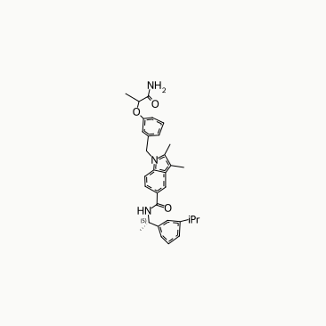 Cc1c(C)n(Cc2cccc(OC(C)C(N)=O)c2)c2ccc(C(=O)N[C@@H](C)c3cccc(C(C)C)c3)cc12